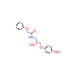 O=C(COc1ccccc1)NCC(O)COc1ccc(O)cc1